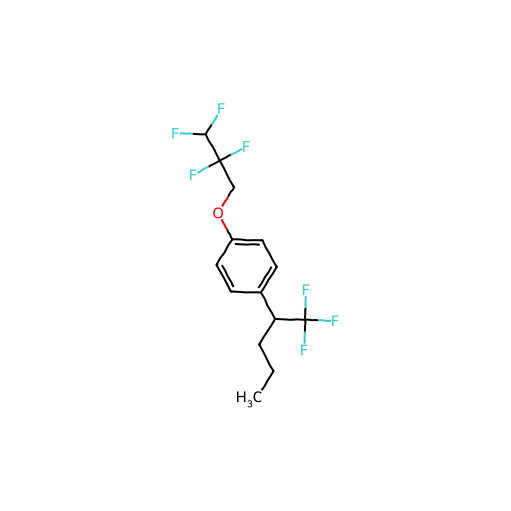 CCCC(c1ccc(OCC(F)(F)C(F)F)cc1)C(F)(F)F